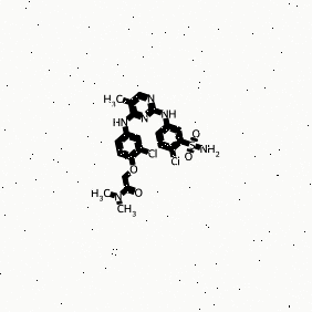 Cc1cnc(Nc2ccc(Cl)c(S(N)(=O)=O)c2)nc1Nc1ccc(OCC(=O)N(C)C)c(Cl)c1